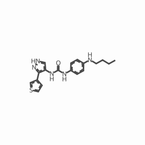 CCCCNc1ccc(NC(=O)Nc2c[nH]nc2-c2ccsc2)cc1